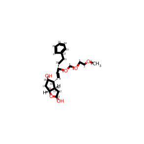 COCCOCO[C@H](/C=C/[C@@H]1[C@H]2CC(O)O[C@H]2C[C@H]1O)CCc1ccccc1